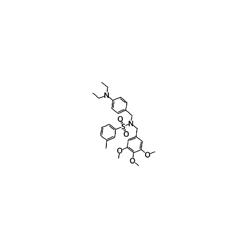 CCN(CC)c1ccc(CN(Cc2cc(OC)c(OC)c(OC)c2)S(=O)(=O)c2cccc(C)c2)cc1